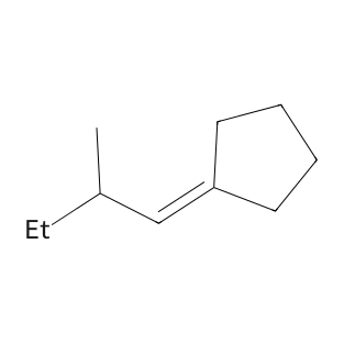 CCC(C)C=C1CCCC1